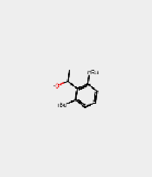 CCCCc1cccc(CCCC)c1C(C)[O]